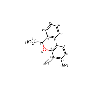 CCCc1cccc(OC(C(=O)O)c2ccccc2)c1CCC